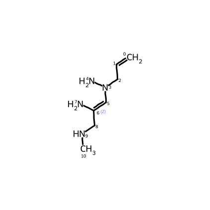 C=CCN(N)/C=C(\N)CNC